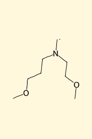 [CH2]N(CCCOC)CCOC